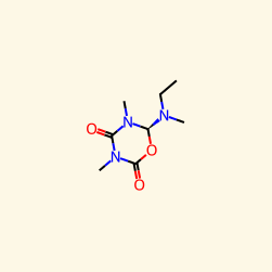 CCN(C)[C@H]1OC(=O)N(C)C(=O)N1C